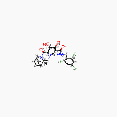 O=C(NCc1c(F)cc(F)cc1F)c1cn2c(c(O)c1=O)C(=O)N1C3CCC(CC3)[C@@H]1C2